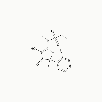 CCS(=O)(=O)N(C)C1=C(O)C(=O)C(C)(c2ccccc2F)O1